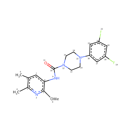 COc1nc(C)c(C)cc1NC(=O)N1CCN(c2cc(F)cc(F)c2)CC1